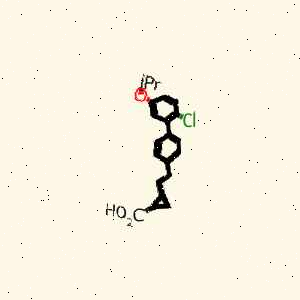 CC(C)Oc1ccc(Cl)c(-c2ccc(CCC3CC3C(=O)O)cc2)c1